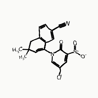 CC1(C)C=C(n2cc(Cl)cc([N+](=O)[O-])c2=O)c2cc(C#N)ccc2C1